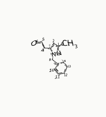 Cc1cc(CC=O)n(Cc2ccccc2)n1